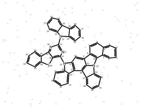 c1ccc2c(c1)ccc1c3cc4c(c5ccccc5n4-c4nc(-n5c6ccccc6c6ccccc65)nc5c4sc4ccccc45)c4c5ccccc5n(c21)c34